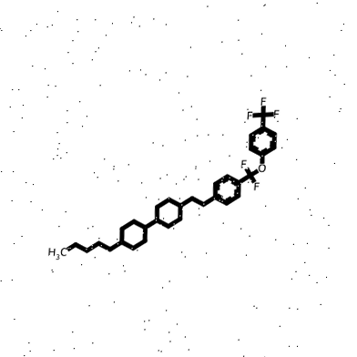 CCCCCC1CCC(C2CCC(CCc3ccc(C(F)(F)Oc4ccc(C(F)(F)F)cc4)cc3)CC2)CC1